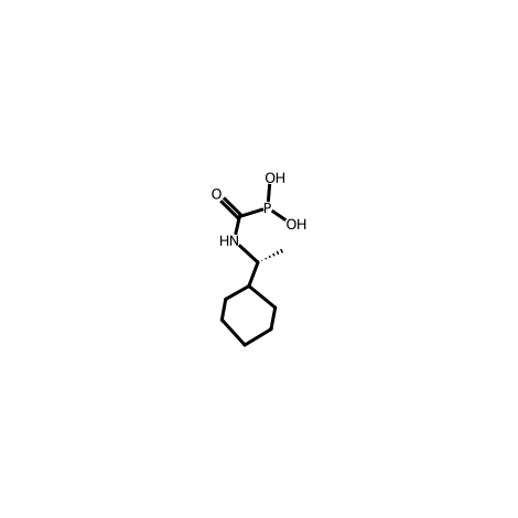 C[C@@H](NC(=O)P(O)O)C1CCCCC1